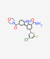 NC(=O)c1cc(C2C=C(Cl)C=C(F)C2)cc2c1[nH]c1ccc(C(=O)N3CCOCC3)cc12